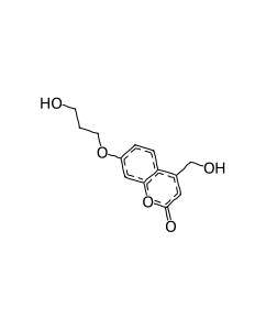 O=c1cc(CO)c2ccc(OCCCO)cc2o1